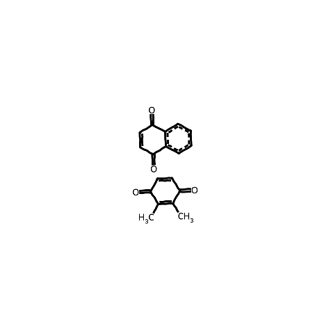 CC1=C(C)C(=O)C=CC1=O.O=C1C=CC(=O)c2ccccc21